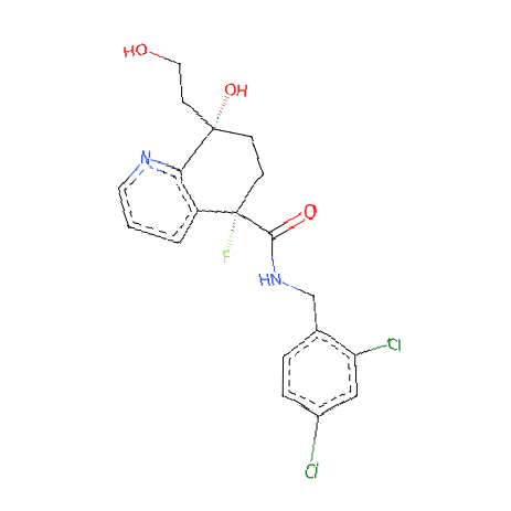 O=C(NCc1ccc(Cl)cc1Cl)[C@]1(F)CC[C@](O)(CCO)c2ncccc21